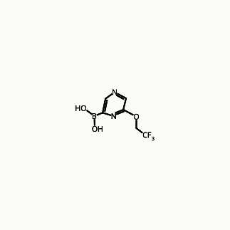 OB(O)c1cncc(OCC(F)(F)F)n1